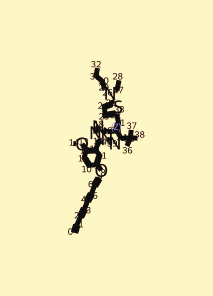 C#CC#CC#CC#COc1ccc(OC)c(-c2nnc3/c(=C\c4ccc(N(CC)CCCC)s4)c(C(C)(C)C)nn23)c1